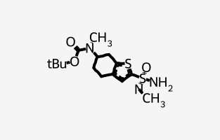 CN=S(N)(=O)c1cc2c(s1)CC(N(C)C(=O)OC(C)(C)C)CC2